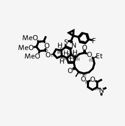 CC[C@H]1CCC[C@H](O[C@H]2CC[C@H](N(C)C)C(C)O2)[C@@H](C)C(=O)C2=C[C@H]3[C@@H]4C[C@H](O[C@@H]5OC(C)[C@H](OC)C(OC)C5OC)C[C@H]4c4sc(C5(c6ccc(F)cc6)CC5)nc4[C@H]3[C@@H]2CC(=O)O1